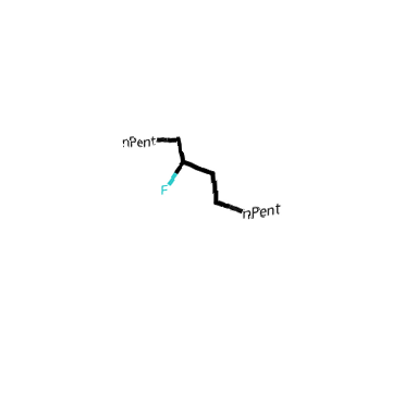 CCCCCCCC(F)CCCCCC